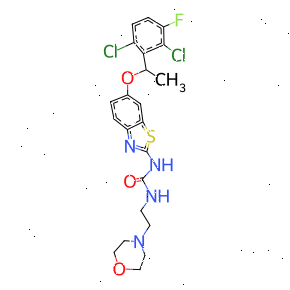 CC(Oc1ccc2nc(NC(=O)NCCN3CCOCC3)sc2c1)c1c(Cl)ccc(F)c1Cl